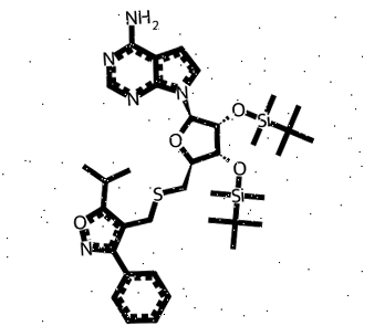 CC(C)c1onc(-c2ccccc2)c1CSC[C@H]1O[C@@H](n2ccc3c(N)ncnc32)[C@H](O[Si](C)(C)C(C)(C)C)[C@@H]1O[Si](C)(C)C(C)(C)C